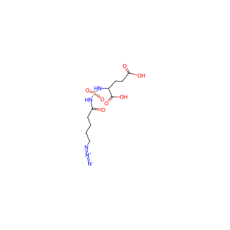 [N-]=[N+]=NCCCCC(=O)NS(=O)(=O)NC(CCC(=O)O)C(=O)O